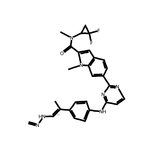 C=NN/C=C(\C)c1ccc(Nc2ccnc(-c3ccc4cc(C(=O)N(C)C5CC5(F)F)n(C)c4c3)n2)cc1